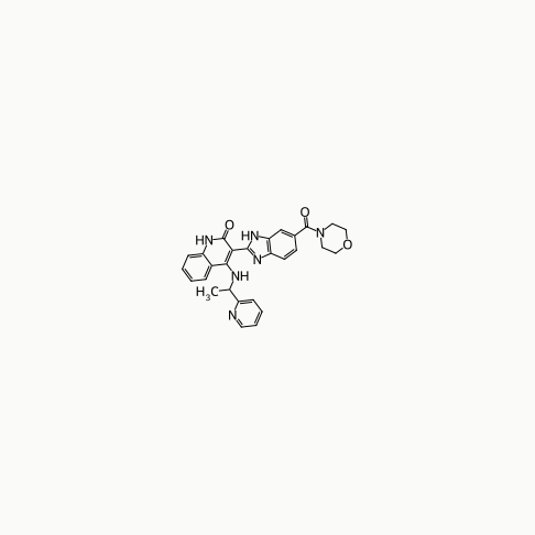 CC(Nc1c(-c2nc3ccc(C(=O)N4CCOCC4)cc3[nH]2)c(=O)[nH]c2ccccc12)c1ccccn1